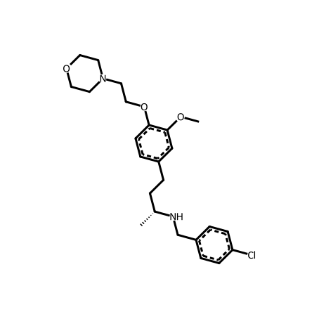 COc1cc(CC[C@@H](C)NCc2ccc(Cl)cc2)ccc1OCCN1CCOCC1